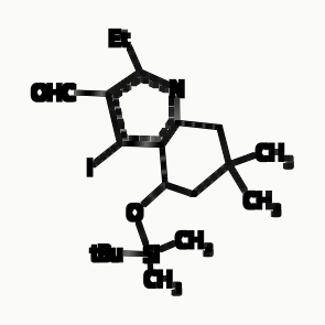 CCc1nc2c(c(I)c1C=O)C(O[Si](C)(C)C(C)(C)C)CC(C)(C)C2